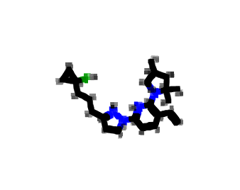 C=Cc1ccc(-n2ccc(CCCC3(F)CC3)n2)nc1N1CC(C)CC1(C)C